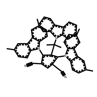 Cc1ccc2c(c1)c1cc(C)ccc1n2-c1c(C#N)cc(C#N)c(-n2c3ccc(C)cc3c3cc(C)ccc32)c1C(C)(C)n1c2ccccc2c2ccccc21